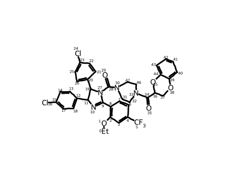 CCOc1cc(C(F)(F)F)ccc1C1=NC(c2ccc(Cl)cc2)C(c2ccc(Cl)cc2)N1C(=O)N1CCN(C(=O)C2COc3ccccc3O2)CC1